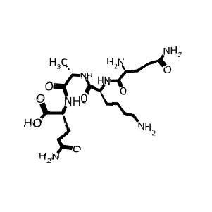 C[C@H](NC(=O)[C@H](CCCCN)NC(=O)[C@@H](N)CCC(N)=O)C(=O)N[C@@H](CCC(N)=O)C(=O)O